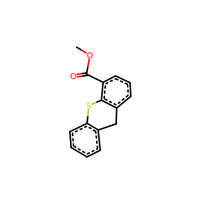 COC(=O)c1cccc2c1Sc1ccccc1C2